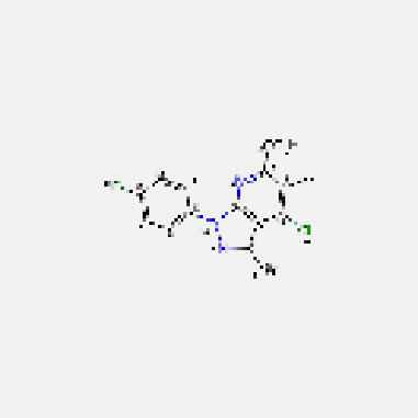 Cc1c(C(=O)O)nc2c(c(C(C)C)nn2-c2ccc(F)cc2)c1Cl